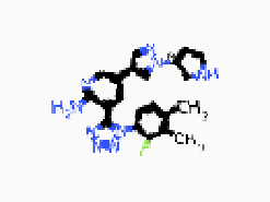 Cc1ccc(-n2nnnc2-c2cc(-c3cnn([C@H]4CCNC4)c3)cnc2N)c(F)c1C